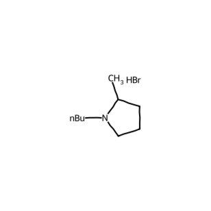 Br.CCCCN1CCCC1C